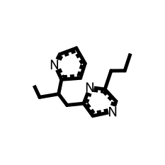 CCCc1cncc(CC(CC)c2ccccn2)n1